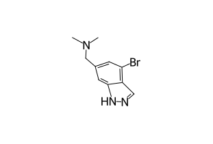 CN(C)Cc1cc(Br)c2cn[nH]c2c1